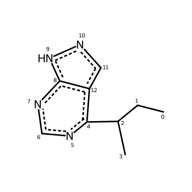 CCC(C)c1ncnc2[nH]ncc12